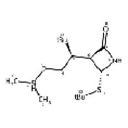 C[SiH](C)OC[C@H]([C@H]1C(=O)N[C@@H]1SC(C)(C)C)C(C)(C)C